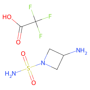 NC1CN(S(N)(=O)=O)C1.O=C(O)C(F)(F)F